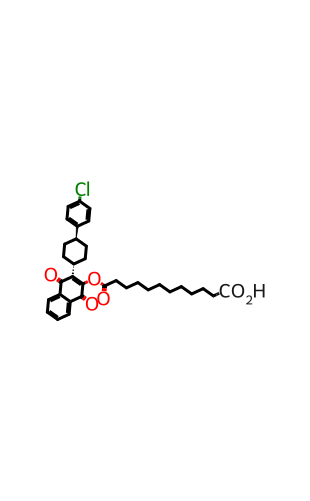 O=C(O)CCCCCCCCCCC(=O)OC1=C([C@H]2CC[C@H](c3ccc(Cl)cc3)CC2)C(=O)c2ccccc2C1=O